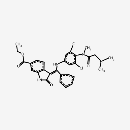 CCOC(=O)c1ccc2c(c1)NC(=O)C2=C(Nc1cc(Cl)c(N(C)C(=O)CN(C)C)c(Cl)c1)c1ccccc1